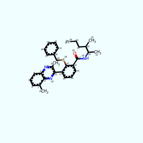 Cc1nc2cccc(C)c2nc1-c1cccc(C(=O)NC(C)C(C)CCC(C)C)c1SCc1ccccc1